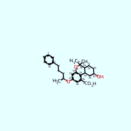 CC(CCCc1ccccc1)Oc1cc2c(c(C(=O)O)c1)C1CC(O)CCC1C(C)(C)O2